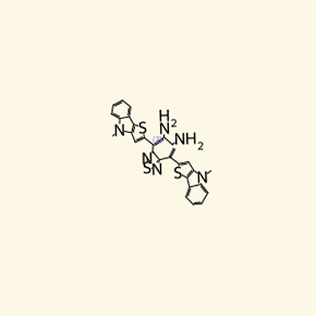 C=C(c1cc2c(s1)c1ccccc1n2C)c1nsnc1/C(=C(/N)CN)c1cc2c(s1)c1ccccc1n2C